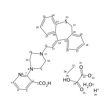 O.O=C(O)c1cccnc1N1CCN(C/C=C2/c3ccccc3CSc3ccccc32)CC1.O=C([O-])C(=O)O.[CH2]C.[H+]